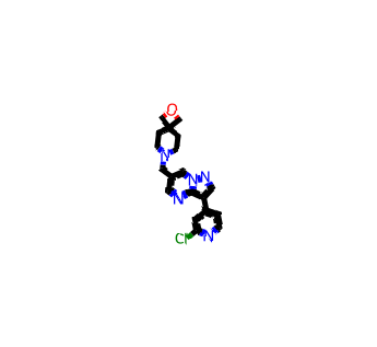 Clc1cc(-c2cnn3cc(CN4CCC5(CC4)COC5)cnc23)ccn1